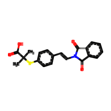 CC(C)(Sc1ccc(C=CN2C(=O)c3ccccc3C2=O)cc1)C(=O)O